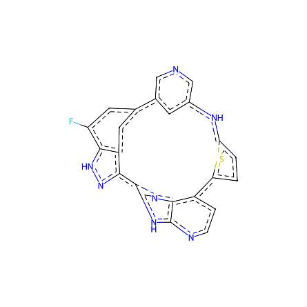 Fc1cc2cc3c1[nH]nc3c1nc3c(nccc3c3ccc([nH]c4cncc2c4)s3)[nH]1